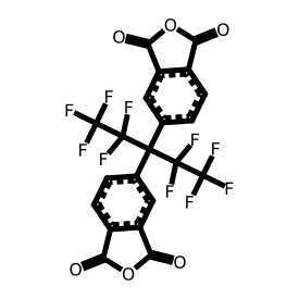 O=C1OC(=O)c2cc(C(c3ccc4c(c3)C(=O)OC4=O)(C(F)(F)C(F)(F)F)C(F)(F)C(F)(F)F)ccc21